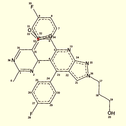 CC1=NC(c2c(-c3ccc(F)cc3)nc3nn(CCCO)cc3c2-c2ccc(F)cc2)C(=S(=O)=O)C=N1